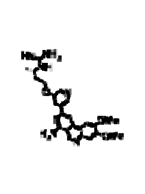 COc1cc2ncc3c(N)nc(-c4cncc(OCC[C@H](C)NC(=N)N)c4)cc3c2cc1OC